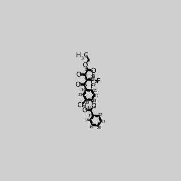 CCOC(=O)C(=O)C(C(=O)c1ccc(OC(=O)c2ccccc2)c(Cl)c1)=P(F)(F)F